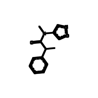 CC(C(=O)N(C)c1cnoc1)c1ccccc1